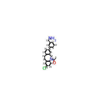 CC(=O)N1Cc2cc(-c3cccc(CN)c3)ccc2CCc2cc(Cl)ccc21